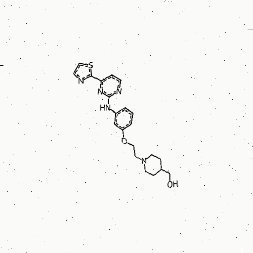 OCC1CCN(CCOc2cccc(Nc3nccc(-c4nccs4)n3)c2)CC1